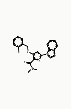 Cc1ccccc1COc1cc(-n2cnc3ccccc32)sc1C(=O)N(C)C